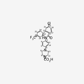 O=C(Nc1ccc(N2CCN(C(=O)O)CC2)cc1)c1ccc(Cl)cc1-c1ccc(C(F)(F)F)cc1